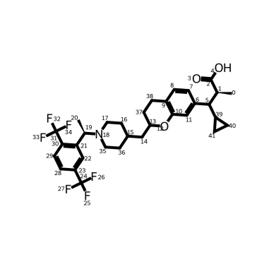 C[C@H](C(=O)O)C(c1ccc2c(c1)OC(CC1CCN([C@H](C)c3cc(C(F)(F)F)ccc3C(F)(F)F)CC1)CC2)C1CC1